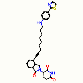 O=C1CCC(N2Cc3c(C#CCCCCCCCNc4ccc(-c5nccs5)cc4)cccc3C2=O)C(=O)N1